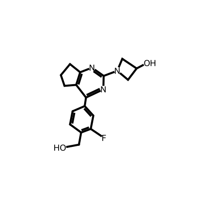 OCc1ccc(-c2nc(N3CC(O)C3)nc3c2CCC3)cc1F